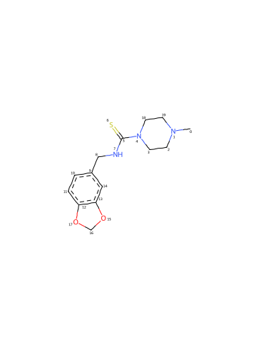 CN1CCN(C(=S)NCc2ccc3c(c2)OCO3)CC1